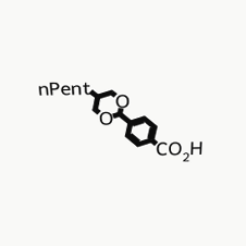 CCCCCC1COC(c2ccc(C(=O)O)cc2)OC1